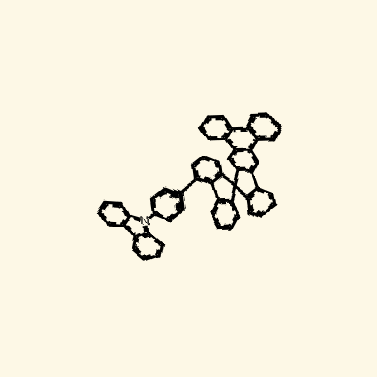 c1ccc2c(c1)-c1cc3c4ccccc4c4ccccc4c3cc1C21c2ccccc2-c2c(-c3ccc(-n4c5ccccc5c5ccccc54)cc3)cccc21